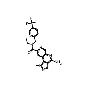 CCN(Cc1ccc(C(F)(F)F)cn1)C(=O)c1cc2c(cn1)nc(N)c1cnn(C)c12